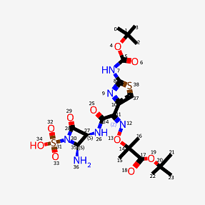 CC(C)(C)OC(=O)Nc1nc(/C(=N/OC(C)(C)C(=O)OC(C)(C)C)C(=O)N[C@@H]2C(=O)N(S(=O)(=O)O)[C@@H]2N)cs1